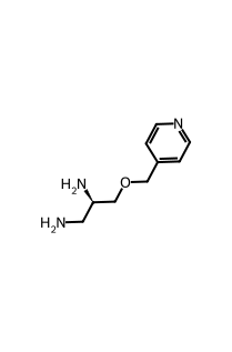 NC[C@@H](N)COCc1ccncc1